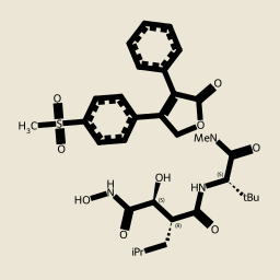 CNC(=O)[C@@H](NC(=O)[C@H](CC(C)C)[C@H](O)C(=O)NO)C(C)(C)C.CS(=O)(=O)c1ccc(C2=C(c3ccccc3)C(=O)OC2)cc1